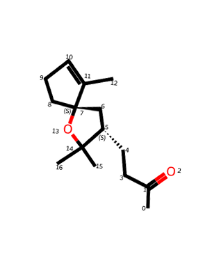 CC(=O)CC[C@H]1C[C@]2(CCC=C2C)OC1(C)C